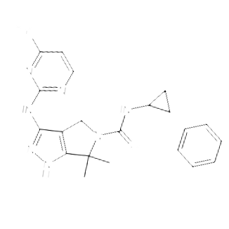 CC1(C)c2[nH]nc(Nc3nccc(C(F)(F)F)n3)c2CN1C(=O)NC1C[C@@H]1c1ccccc1